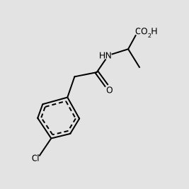 CC(NC(=O)Cc1ccc(Cl)cc1)C(=O)O